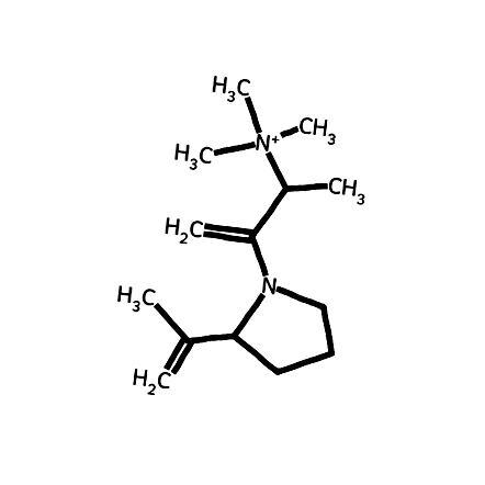 C=C(C)C1CCCN1C(=C)C(C)[N+](C)(C)C